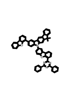 CC1(C)c2ccccc2-c2cc3c4cc(-c5cccc6c5oc5ccccc56)ccc4n(-c4ccc5oc6c(-c7nc(-c8ccccc8)nc(-c8ccccc8)n7)cccc6c5c4)c3cc21